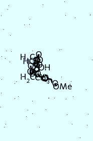 C=C(C)[C@@H]1CC2OC(=O)C34OC5OCO[C@H](OCc6ccc(CCOOC)cc6)C51C23[C@@H](O)C1OC(=O)[C@@H](C)[C@@]14O